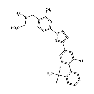 Cc1cc(-c2noc(-c3ccc(-c4ccccc4C(C)(F)F)c(Cl)c3)n2)ccc1CN(C)CC(=O)O